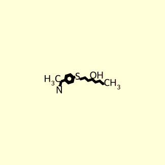 CCCC[C@@H](O)CCCSc1ccc(C(C)C#N)cc1